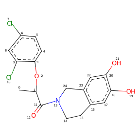 CC(Oc1ccc(Cl)cc1Cl)C(=O)N1CCc2cc(O)c(O)cc2C1